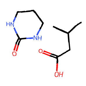 CC(C)CC(=O)O.O=C1NCCCN1